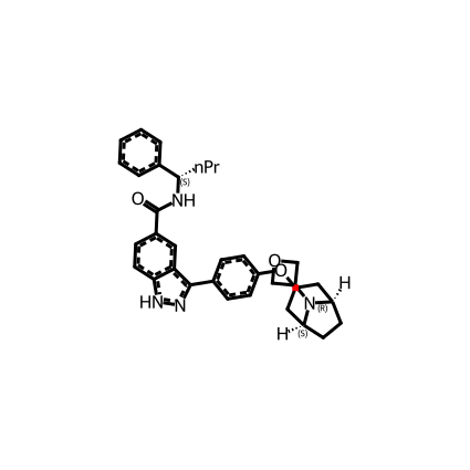 CCC[C@H](NC(=O)c1ccc2[nH]nc(-c3ccc(OC4C[C@H]5CC[C@@H](C4)N5C4COC4)cc3)c2c1)c1ccccc1